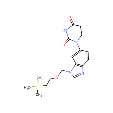 CS(C)(C)CCOCn1cnc2ccc(N3CCC(=O)NC3=O)cc21